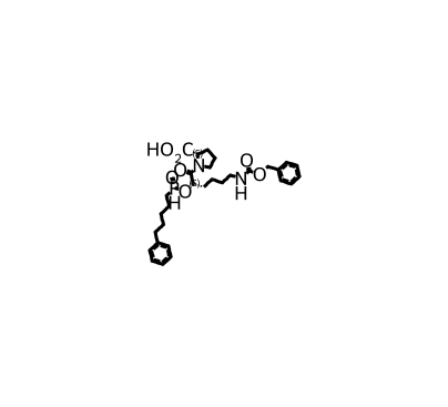 O=C(NCCCC[C@H](O[PH](=O)CCCCCc1ccccc1)C(=O)N1CCC[C@H]1C(=O)O)OCc1ccccc1